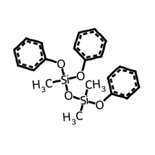 C[Si](C)(Oc1ccccc1)O[Si](C)(Oc1ccccc1)Oc1ccccc1